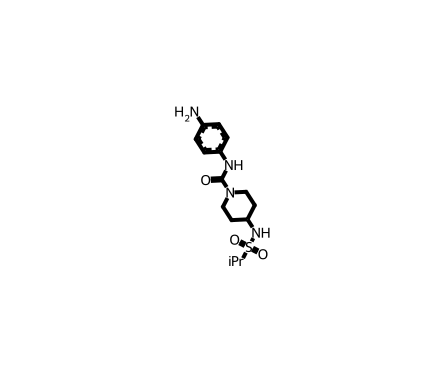 CC(C)S(=O)(=O)NC1CCN(C(=O)Nc2ccc(N)cc2)CC1